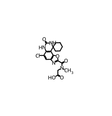 CN(CC(=O)O)C(=O)c1nc2cc(Cl)c3c(c2o1)C1(CCCCC1)NC(=O)N3